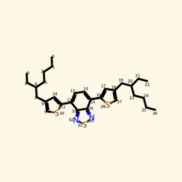 CCCCC(CC)Cc1csc(-c2ccc(-c3cc(CC(CC)CCCC)cs3)c3nsnc23)c1